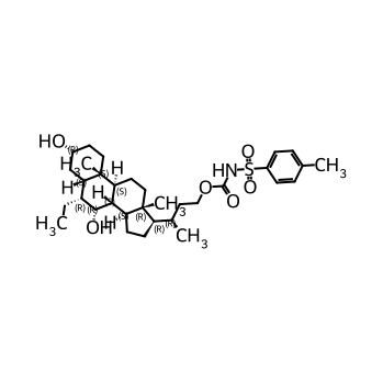 CC[C@H]1[C@@H](O)[C@@H]2[C@H](CC[C@]3(C)[C@@H]([C@H](C)CCOC(=O)NS(=O)(=O)c4ccc(C)cc4)CC[C@@H]23)[C@@]2(C)CC[C@@H](O)C[C@@H]12